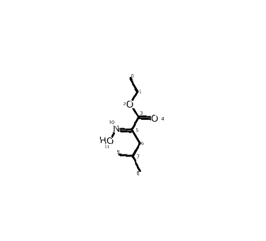 CCOC(=O)C(CC(C)C)=NO